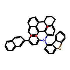 c1ccc(N(c2ccc(-c3ccc4ccccc4c3)cc2)c2cccc3sc4ccccc4c23)c(-c2cccc3cccc(C4CCCCC4)c23)c1